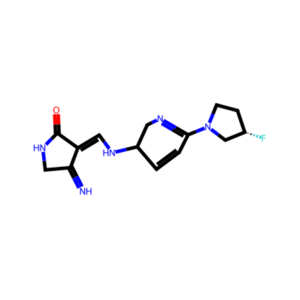 N=C1CNC(=O)/C1=C/NC1C=CC(N2CC[C@H](F)C2)=NC1